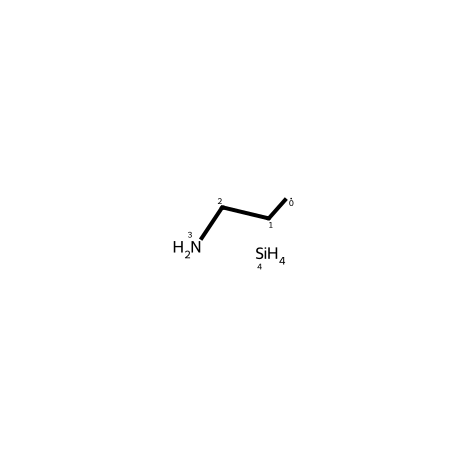 [CH2]CCN.[SiH4]